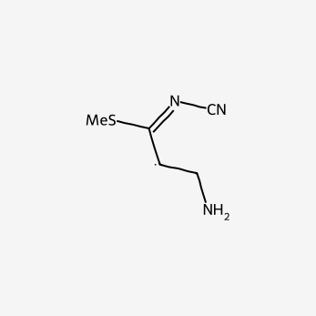 CSC([CH]CN)=NC#N